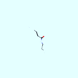 COCCC(=O)NCCC=O